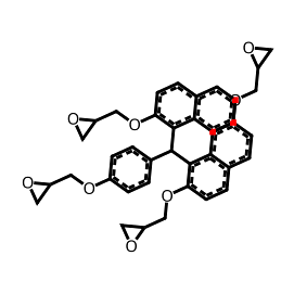 c1ccc2c(C(c3ccc(OCC4CO4)cc3)c3c(OCC4CO4)ccc4ccc(OCC5CO5)cc34)c(OCC3CO3)ccc2c1